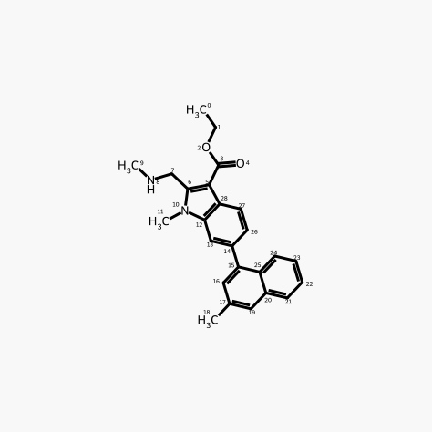 CCOC(=O)c1c(CNC)n(C)c2cc(-c3cc(C)cc4ccccc34)ccc12